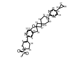 CS(=O)(=O)N1CC=C(c2cc3c(cn2)OC2(C3)CC3(CCN(c4ncc(C5CC5)cn4)CC3)C2)CC1